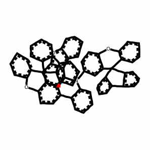 c1ccc2c(c1)Oc1ccc(-c3ccccc3N(c3ccc4c(c3)C3(c5ccccc5O4)c4ccccc4-c4ccccc43)c3cccc4oc5ccccc5c34)cc1C21c2ccccc2-c2ccccc21